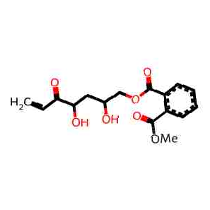 C=CC(=O)C(O)CC(O)COC(=O)c1ccccc1C(=O)OC